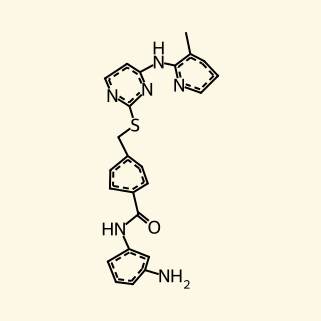 Cc1cccnc1Nc1ccnc(SCc2ccc(C(=O)Nc3cccc(N)c3)cc2)n1